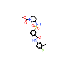 COC(=O)N1CCCC(NS(=O)(=O)c2cccc(C(=O)Nc3ccc(F)c(C)c3)c2)C1